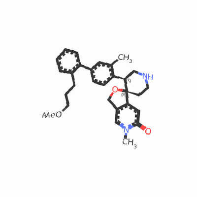 COCCCc1ccccc1-c1ccc([C@H]2CNCC[C@@]23OCc2cn(C)c(=O)cc23)c(C)c1